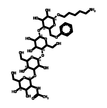 CC(=O)NC1C(O)[C@@H](O)C(CO)O[C@H]1OC1C(O)[C@@H](O[C@H]2C(CO)O[C@@H](O[C@@H]3C(COc4ccccc4)O[C@@H](OCCCCCN)C(O)C3O)C(O)C2O)OC(CO)[C@@H]1O